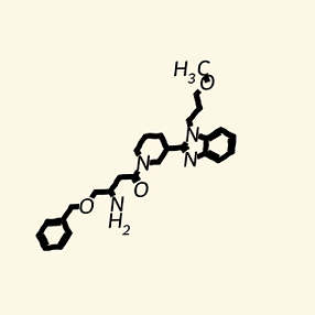 COCCCn1c(C2CCCN(C(=O)CC(N)COCc3ccccc3)C2)nc2ccccc21